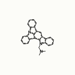 CN(C)Cn1c2ccccc2c2cc3c4ccccc4n4c5ccccc5c(c21)c34